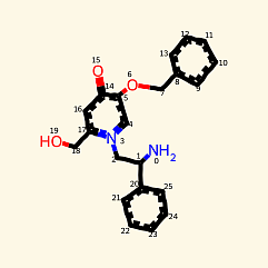 NC(Cn1cc(OCc2ccccc2)c(=O)cc1CO)c1ccccc1